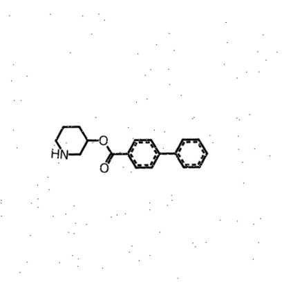 O=C(OC1CCCNC1)c1ccc(-c2ccccc2)cc1